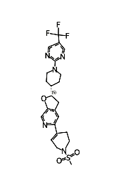 CS(=O)(=O)N1CC=C(c2cc3c(cn2)O[C@H](C2CCN(c4ncc(C(F)(F)F)cn4)CC2)C3)CC1